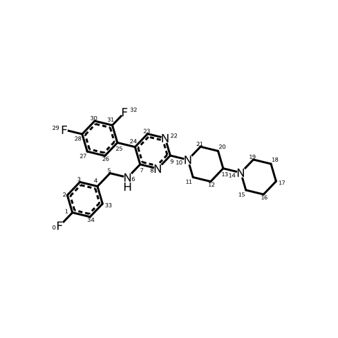 Fc1ccc(CNc2nc(N3CCC(N4CCCCC4)CC3)ncc2-c2ccc(F)cc2F)cc1